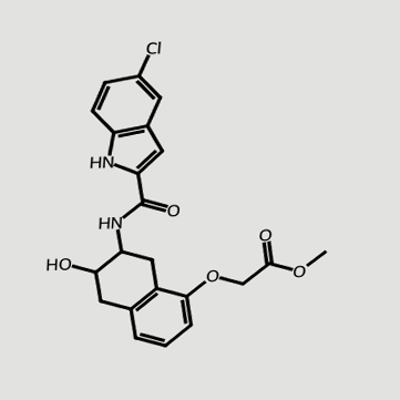 COC(=O)COc1cccc2c1CC(NC(=O)c1cc3cc(Cl)ccc3[nH]1)C(O)C2